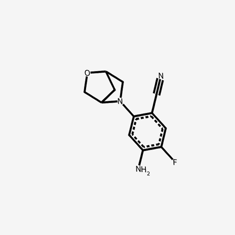 N#Cc1cc(F)c(N)cc1N1CC2CC1CO2